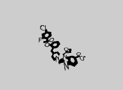 COC(=O)c1ccc2nc(CN3CCC(Cc4cccc5c4OC(C)(c4ccc(Cl)cc4F)O5)CC3)n(C[C@@H]3CCO3)c2c1